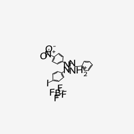 F[B-](F)(F)F.O=[N+]([O-])c1ccc(N2N=C(c3ccccc3)[NH2+]N2c2ccc(I)cc2)cc1